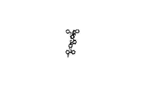 Fc1cccc2c1c1ccccc1n2-c1ccc2sc3c(-c4ccc5c(c4)n4c6ccccc6cc4n5-c4ccccc4)cccc3c2c1